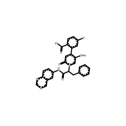 CCC(=O)c1ccc(Cl)cc1-c1cc(=O)n(C(Cc2ccccc2)C(=O)Nc2ccc3ncncc3c2)cc1OC